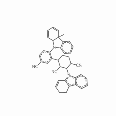 CC12C=CC=CC1N(c1ccc(C#N)cc1C1CCC(C#N)C(n3c4c(c5ccccc53)CCC=C4)C1C#N)c1ccccc12